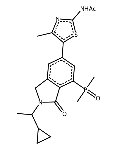 CC(=O)Nc1nc(C)c(-c2cc3c(c(P(C)(C)=O)c2)C(=O)N(C(C)C2CC2)C3)s1